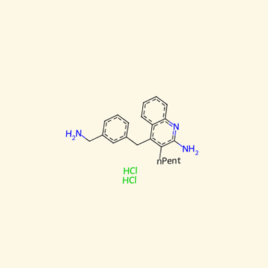 CCCCCc1c(N)nc2ccccc2c1Cc1cccc(CN)c1.Cl.Cl